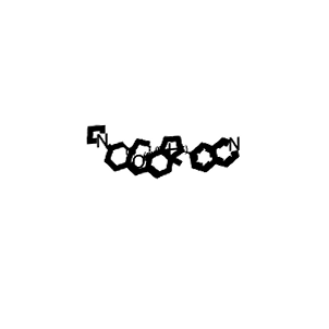 CC12CC=C3C=C4CCC(N5CCC5)C[C@]45CC[C@]3(O5)[C@@H]1CC[C@@H]2c1ccc2ccncc2c1